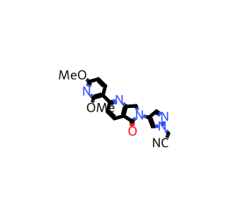 COc1ccc(-c2ccc3c(n2)CN(c2cnn(CC#N)c2)C3=O)c(OC)n1